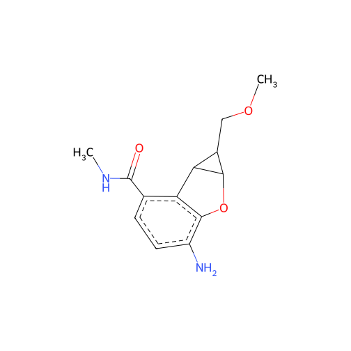 CNC(=O)c1ccc(N)c2c1C1C(COC)C1O2